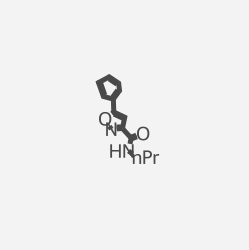 CCCNC(=O)c1cc(-c2ccccc2)on1